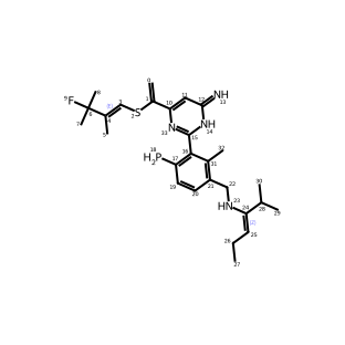 C=C(S/C=C(\C)C(C)(C)F)c1cc(=N)[nH]c(-c2c(P)ccc(CN/C(=C\CC)C(C)C)c2C)n1